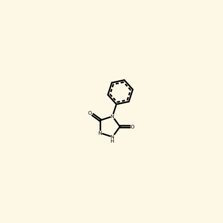 O=C1[N]NC(=O)N1c1ccccc1